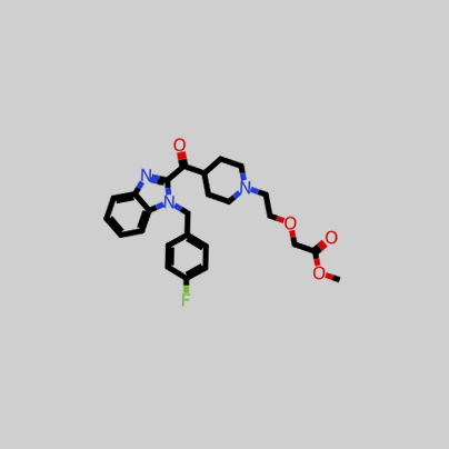 COC(=O)COCCN1CCC(C(=O)c2nc3ccccc3n2Cc2ccc(F)cc2)CC1